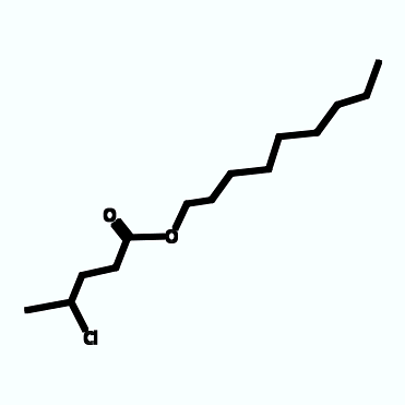 CCCCCCCCCOC(=O)CCC(C)Cl